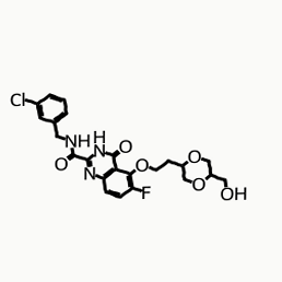 O=C(NCc1cccc(Cl)c1)c1nc2ccc(F)c(OCCC3COC(CO)CO3)c2c(=O)[nH]1